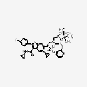 CC1(C)OB(CC(COCc2ccccc2)CN(c2cc3oc(-c4ccc(F)cc4)c(C(=O)NC4CC4)c3cc2C2CC2)S(C)(=O)=O)OC1(C)C